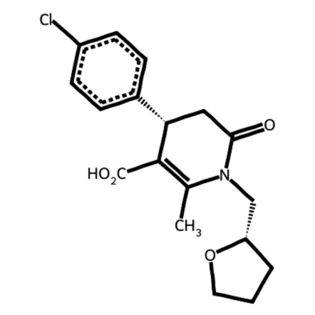 CC1=C(C(=O)O)[C@H](c2ccc(Cl)cc2)CC(=O)N1C[C@@H]1CCCO1